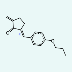 C=C1CC/C(=C\c2ccc(OCCC)cc2)C1=O